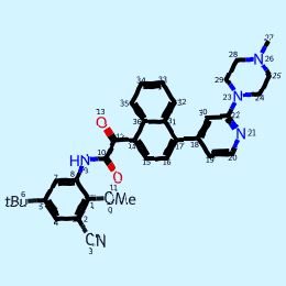 COc1c(C#N)cc(C(C)(C)C)cc1NC(=O)C(=O)c1ccc(-c2ccnc(N3CCN(C)CC3)c2)c2ccccc12